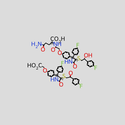 NC(=O)CC[C@H](NC(=O)COc1ccc([C@]2(c3ccc(F)cc3)NC(=O)[C@@H]2SCC(O)c2ccc(F)cc2)cc1)C(=O)O.O=C(O)COc1ccc([C@]2(c3ccc(F)cc3)NC(=O)[C@@H]2SCC(=O)c2ccc(F)cc2)cc1